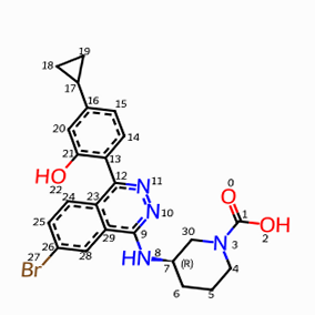 O=C(O)N1CCC[C@@H](Nc2nnc(-c3ccc(C4CC4)cc3O)c3ccc(Br)cc23)C1